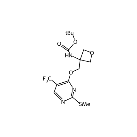 CSc1ncc(C(F)(F)F)c(OCC2(NC(=O)OC(C)(C)C)COC2)n1